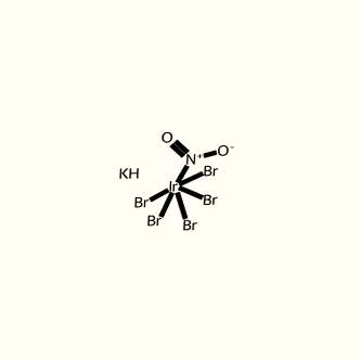 O=[N+]([O-])[Ir]([Br])([Br])([Br])([Br])[Br].[KH]